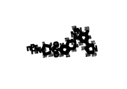 CCCNC1CCN(S(=O)(=O)c2ccc3c(c2)CN(c2ncnc4c(C)cc(-c5cccnc5)cc24)CC3)CC1